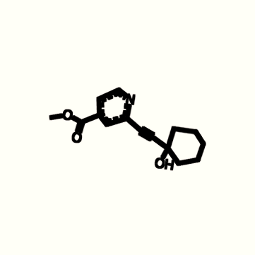 COC(=O)c1ccnc(C#CC2(O)CCCCC2)c1